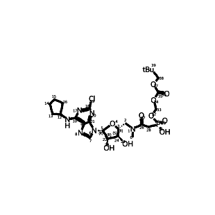 CN(C[C@H]1O[C@@H](n2cnc3c(NC4CCCC4)nc(Cl)nc32)[C@H](O)[C@@H]1O)C(=O)CP(=O)(O)OCOC(=O)OCC(C)(C)C